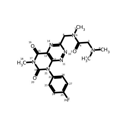 CN(C)CC(=O)N(C)Cc1nnc2c(n1)c(=O)n(C)c(=O)n2-c1ccc(F)cc1